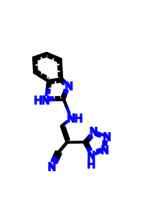 N#CC(=CNc1nc2ccccc2[nH]1)c1nnn[nH]1